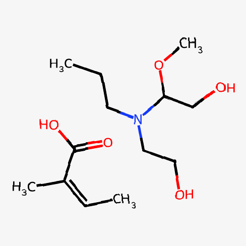 CC=C(C)C(=O)O.CCCN(CCO)C(CO)OC